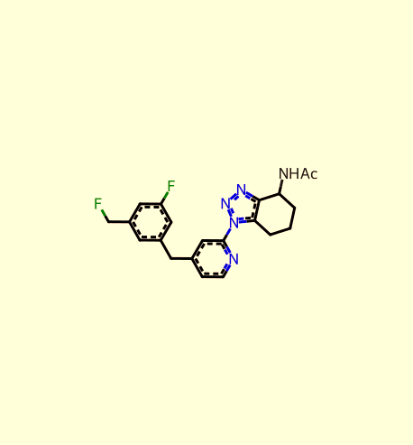 CC(=O)NC1CCCc2c1nnn2-c1cc(Cc2cc(F)cc(CF)c2)ccn1